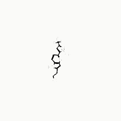 CCCc1cc2nc(-c3cc(C(F)(F)F)nn3C)ccc2[nH]1